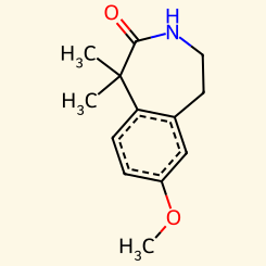 COc1ccc2c(c1)CCNC(=O)C2(C)C